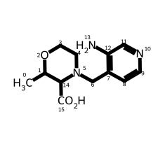 CC1OCCN(Cc2ccncc2N)C1C(=O)O